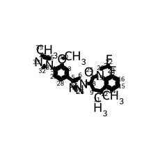 COc1cc(-c2cn(C3CC(C)(C)c4ccccc4N(CC(F)F)C3=O)nn2)ccc1-n1cnc(C)c1